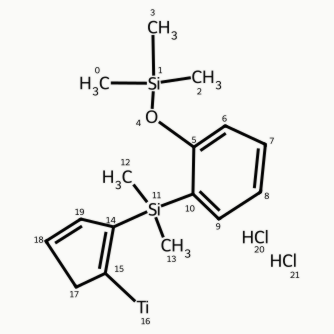 C[Si](C)(C)Oc1ccccc1[Si](C)(C)C1=[C]([Ti])CC=C1.Cl.Cl